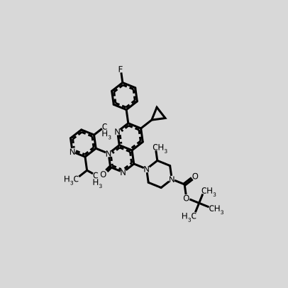 Cc1ccnc(C(C)C)c1-n1c(=O)nc(N2CCN(C(=O)OC(C)(C)C)CC2C)c2cc(C3CC3)c(-c3ccc(F)cc3)nc21